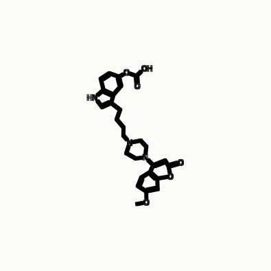 COc1ccc2c(N3CCN(CCCCc4c[nH]c5ccc(OC(=O)O)cc45)CC3)cc(=O)oc2c1